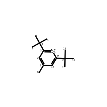 Cc1cc(C(C)(C)C)[s+]c(C(C)(C)C)c1